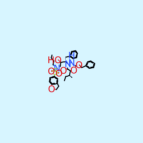 CCCCN(C[C@@H](O)[C@H](Cc1ccccc1)N(NC(=O)OCc1ccccc1)C(=O)C[C@@H](C)CC)S(=O)(=O)c1ccc2c(c1)CCO2